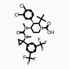 CN(C(=O)N(C)C1(c2cc(C(F)(F)F)cc(C(F)(F)F)c2)CC1)[C@@H]1CCN(C(=O)O)C(C(C)(C)C)[C@@H]1c1ccc(Cl)c(Cl)c1